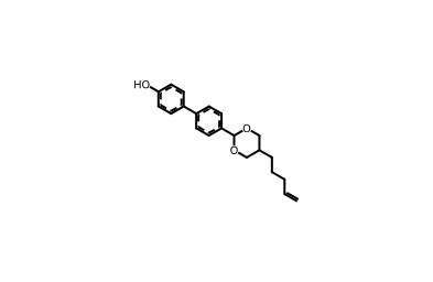 C=CCCCC1COC(c2ccc(-c3ccc(O)cc3)cc2)OC1